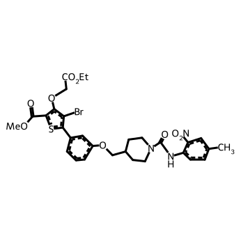 CCOC(=O)COc1c(C(=O)OC)sc(-c2cccc(OCC3CCN(C(=O)Nc4ccc(C)cc4[N+](=O)[O-])CC3)c2)c1Br